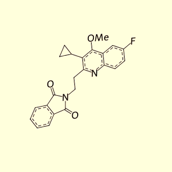 COc1c(C2CC2)c(CCN2C(=O)c3ccccc3C2=O)nc2ccc(F)cc12